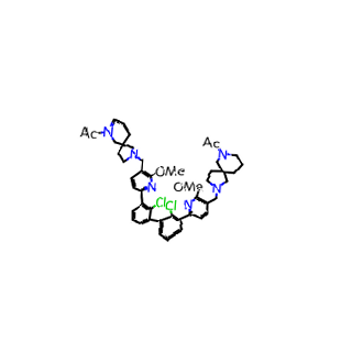 COc1nc(-c2cccc(-c3cccc(-c4ccc(CN5CCC6(CCCN(C(C)=O)C6)C5)c(OC)n4)c3Cl)c2Cl)ccc1CN1CCC2(CCCN(C(C)=O)C2)C1